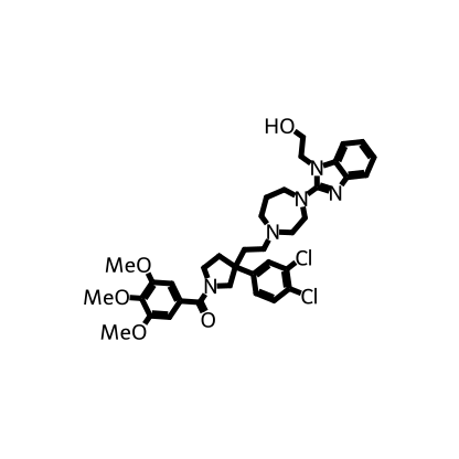 COc1cc(C(=O)N2CCC(CCN3CCCN(c4nc5ccccc5n4CCO)CC3)(c3ccc(Cl)c(Cl)c3)C2)cc(OC)c1OC